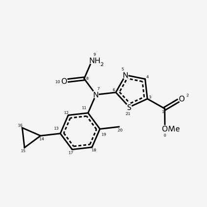 COC(=O)c1cnc(N(C(N)=O)c2cc(C3CC3)ccc2C)s1